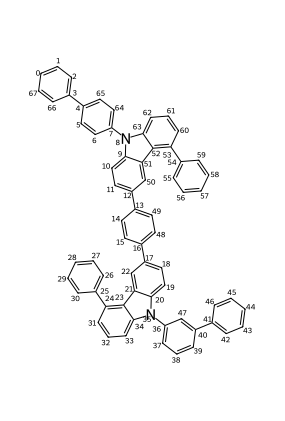 c1ccc(-c2ccc(-n3c4ccc(-c5ccc(-c6ccc7c(c6)c6c(-c8ccccc8)cccc6n7-c6cccc(-c7ccccc7)c6)cc5)cc4c4c(-c5ccccc5)cccc43)cc2)cc1